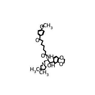 COc1ccc(C(=O)CCCCCC(=O)N[C@H](CN2CCC(C)(C)C2)[C@H](O)c2ccc3c(c2)OCCO3)cc1